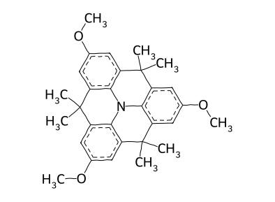 COc1cc2c3c(c1)C(C)(C)c1cc(OC)cc4c1N3c1c(cc(OC)cc1C4(C)C)C2(C)C